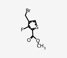 COC(=O)c1scc(CBr)c1F